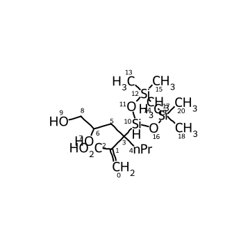 C=C(C(=O)O)C(CCC)(CC(O)CO)[SiH](O[Si](C)(C)C)O[Si](C)(C)C